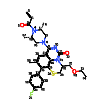 C=CC(=O)N1[C@H](C)CN(c2nc(=O)n3c4c(c(-c5ccc(F)cc5)c(C)cc24)SCC3COCC)C[C@@H]1C